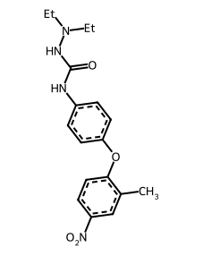 CCN(CC)NC(=O)Nc1ccc(Oc2ccc([N+](=O)[O-])cc2C)cc1